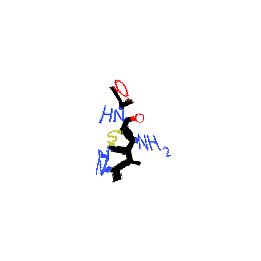 Cc1nnc2sc(C(=O)NC3COC3)c(N)c2c1C